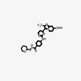 COc1ccn2c(-c3ccnc(Nc4ccc(C(=O)NOC5CCCCO5)cc4)n3)c(C(F)(F)F)nc2c1